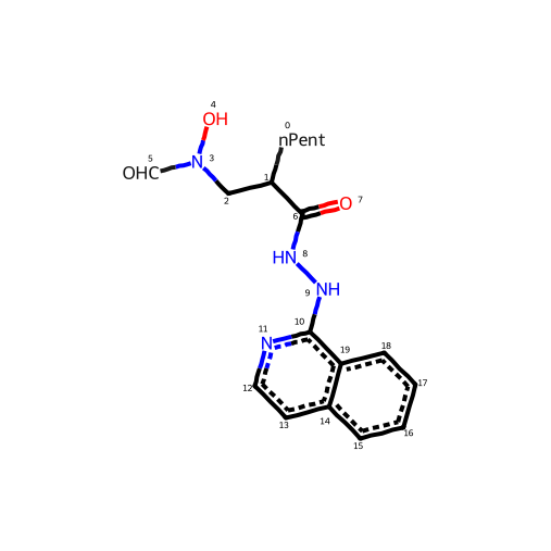 CCCCCC(CN(O)C=O)C(=O)NNc1nccc2ccccc12